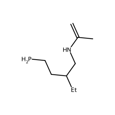 C=C(C)NCC(CC)CCP